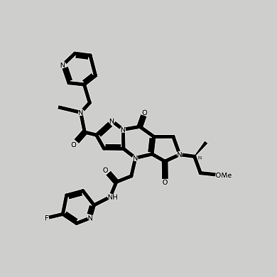 COC[C@H](C)N1Cc2c(n(CC(=O)Nc3ccc(F)cn3)c3cc(C(=O)N(C)Cc4cccnc4)nn3c2=O)C1=O